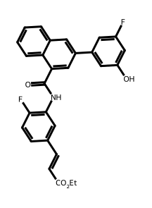 CCOC(=O)/C=C/c1ccc(F)c(NC(=O)c2cc(-c3cc(O)cc(F)c3)cc3ccccc23)c1